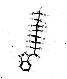 O=C(n1nnc2ccccc21)C(F)(F)C(F)(F)C(F)(F)C(F)(F)C(F)(F)C(F)(F)C(F)(F)F